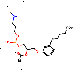 CCCCCCCCCCCCCCc1cccc(OCC(COP(O)OCCCN(C)C)OC(=O)CC)c1